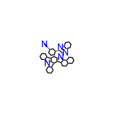 N#Cc1cccc(-c2nc3ccccc3nc2-n2c3cc4c5ccccc5n5c6ccccc6c(c3c3ccc6ccccc6c32)c45)c1